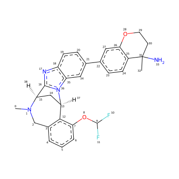 CN1Cc2cccc(OC(F)F)c2[C@H]2C[C@@H]1c1nc3ccc(-c4ccc5c(c4)OCCC5(C)N)cc3n12